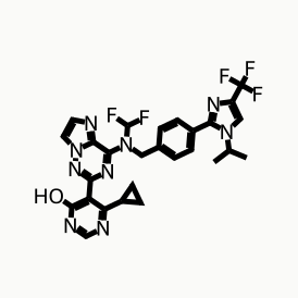 CC(C)n1cc(C(F)(F)F)nc1-c1ccc(CN(c2nc(-c3c(O)ncnc3C3CC3)nn3ccnc23)C(F)F)cc1